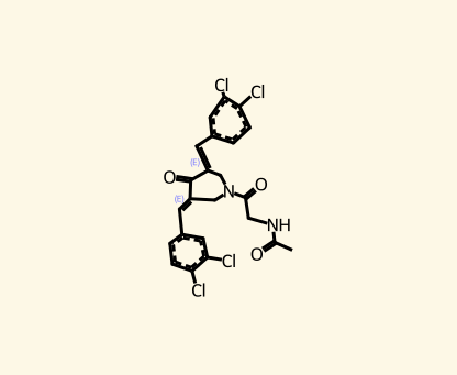 CC(=O)NCC(=O)N1C/C(=C\c2ccc(Cl)c(Cl)c2)C(=O)/C(=C/c2ccc(Cl)c(Cl)c2)C1